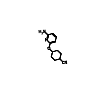 N#CC1CCC(Oc2cccc(N)n2)CC1